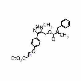 CCOC(=O)/C=C/Oc1ccc(-c2nnn(C)c2COC(=O)N(C)Cc2ccccc2)cc1